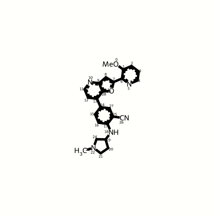 COc1cccnc1-c1cc2nccc(-c3ccc(NC4CCN(C)C4)c(C#N)c3)c2o1